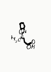 CN(CCC(=O)O)c1nc2ccccc2o1